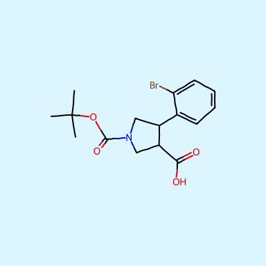 CC(C)(C)OC(=O)N1CC(C(=O)O)C(c2ccccc2Br)C1